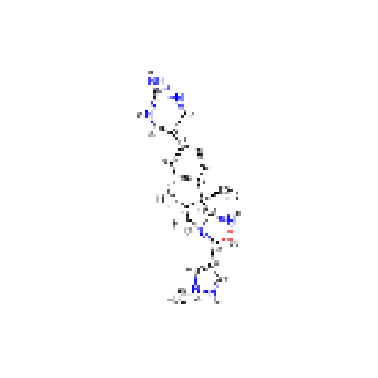 CC(C)[C@](C)(c1ccc(-c2cnc(N)nc2)cc1)c1noc(-c2cnn(C)c2)n1